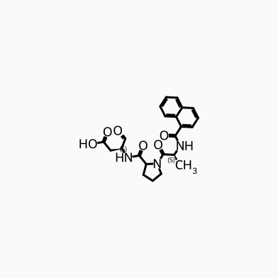 C[C@H](NC(=O)c1cccc2ccccc12)C(=O)N1CCCC1C(=O)N[C@H](C=O)CC(=O)O